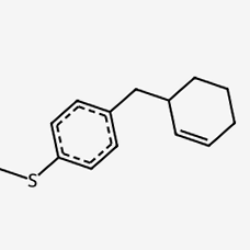 CSc1ccc(CC2C=CCCC2)cc1